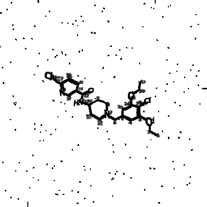 CCOc1cc(CN2CCC(NC(=O)c3ccc(Cl)nc3)CC2)cc(OCC)c1Cl